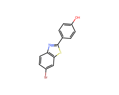 Oc1ccc(-c2nc3ccc(Br)cc3s2)cc1